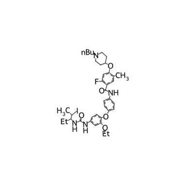 CCCCN1CCC(Oc2cc(F)c(C(=O)Nc3ccc(Oc4ccc(NC(=O)NC(CC)C(C)I)cc4OCC)cc3)cc2C)CC1